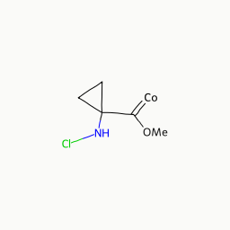 CO[C](=[Co])C1(NCl)CC1